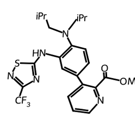 COC(=O)c1ncccc1-c1ccc(N(CC(C)C)C(C)C)c(Nc2nc(C(F)(F)F)ns2)c1